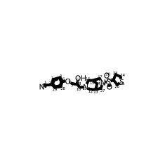 N#Cc1ccc(OCC(O)CN2CC3CC(C2)CN(S(=O)(=O)C2CCSC2)C3)cc1